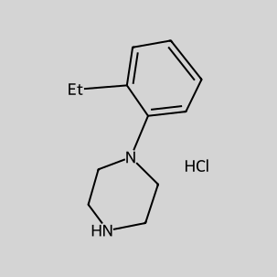 CCc1ccccc1N1CCNCC1.Cl